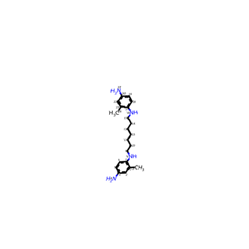 Cc1cc(N)ccc1NCCCCCCCNc1ccc(N)cc1C